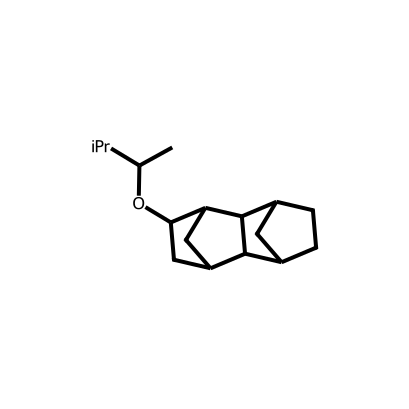 CC(C)C(C)OC1CC2CC1C1C3CCC(C3)C21